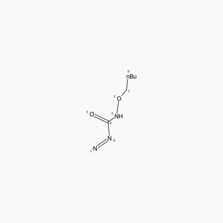 CCCCCONC(=O)N=[N]